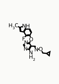 Cc1cc2c(F)c(Oc3ncnc(N)c3C=NOCC3CC3)ccc2[nH]1